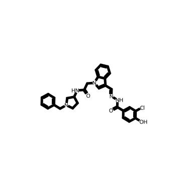 O=C(Cn1cc(/C=N/NC(=O)c2ccc(O)c(Cl)c2)c2ccccc21)NC1CCN(Cc2ccccc2)C1